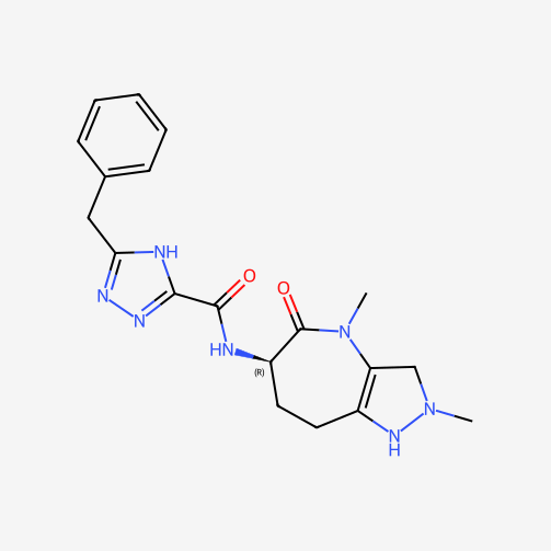 CN1CC2=C(CC[C@@H](NC(=O)c3nnc(Cc4ccccc4)[nH]3)C(=O)N2C)N1